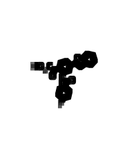 O=C(O)C(=O)c1ccc(-c2cc3ccccc3o2)cc1NC(=O)c1ccc(F)cc1